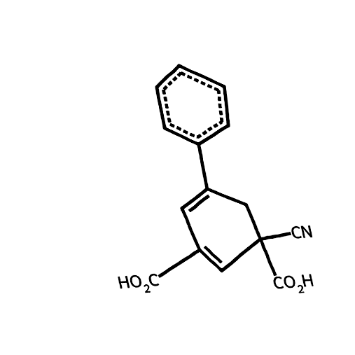 N#CC1(C(=O)O)C=C(C(=O)O)C=C(c2ccccc2)C1